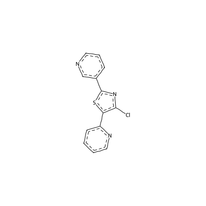 Clc1nc(-c2cccnc2)sc1-c1ccccn1